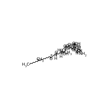 C=C(CCCCCCCC)CCCCCCCCC(=O)SCCNC(=O)CCNC(=O)[C@H](O)C(C)(C)COP(=O)(O)OP(=O)(O)OC[C@H]1O[C@@H](n2cnc3c(N)ncnc32)[C@H](O)[C@@H]1OP(=O)(O)O